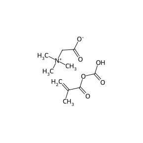 C=C(C)C(=O)OC(=O)O.C[N+](C)(C)CC(=O)[O-]